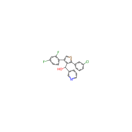 OC(c1cccnc1)c1c(-c2ccc(F)cc2F)csc1-c1cccc(Cl)c1